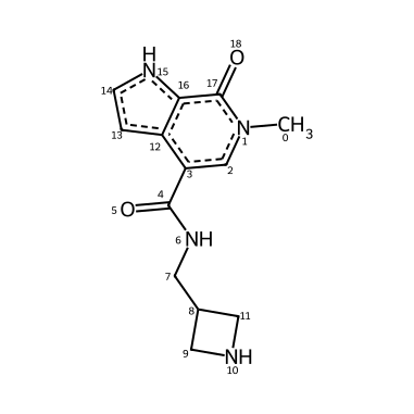 Cn1cc(C(=O)NCC2CNC2)c2cc[nH]c2c1=O